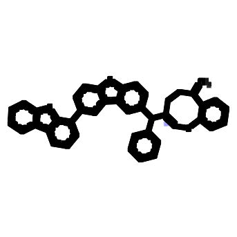 C=C1CC/C(C(c2ccccc2)c2ccc3sc4ccc(-c5cccc6c5sc5ccccc56)cc4c3c2)=C\Sc2ccccc21